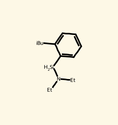 CCC(C)c1ccccc1[SiH2]N(CC)CC